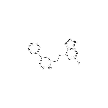 Fc1cc(CCC2CC(c3ccccc3)=CCN2)c2cc[nH]c2c1